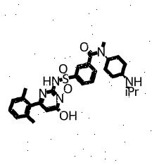 Cc1cccc(C)c1-c1cc(O)nc(NS(=O)(=O)c2cccc(C(=O)N(C)[C@H]3CC[C@H](NC(C)C)CC3)c2)n1